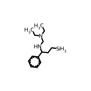 CCN(CC)CNC(CC[SiH3])c1ccccc1